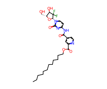 CCCCCCCCCCCCOC(=O)c1cc(C(=O)Nc2ccn([C@@H]3O[C@H](CO)[C@@H](O)C3(F)F)c(=O)n2)ccn1